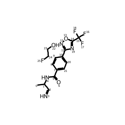 CC(C=N)NC(=O)c1ccc(-c2noc(C(F)(F)F)n2)cc1.OCCF